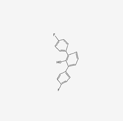 Oc1c(-c2ccc(F)cc2)cccc1-c1ccc(F)cc1